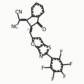 N#CC(C#N)=C1/C(=C/c2cc3sc(-c4c(F)c(F)c(F)c(F)c4F)nc3o2)C(=O)c2ccccc21